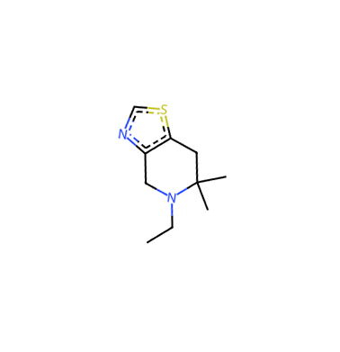 CCN1Cc2ncsc2CC1(C)C